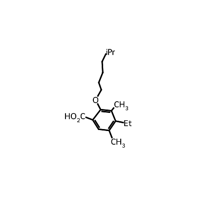 CCc1c(C)cc(C(=O)O)c(OCCCCC(C)C)c1C